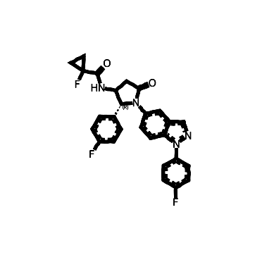 O=C1CC(NC(=O)C2(F)CC2)[C@@H](c2ccc(F)cc2)N1c1ccc2c(cnn2-c2ccc(F)cc2)c1